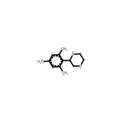 Cc1cc(C)c(C2COCCO2)c(C)c1